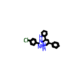 N=C(NC1NC=C(c2ccccc2)C=C1c1ccccc1)c1ccc(Cl)cc1